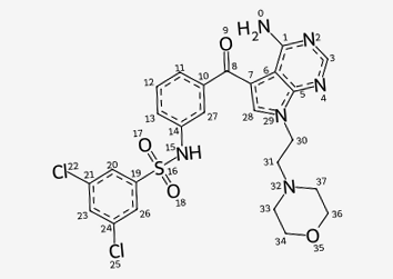 Nc1ncnc2c1c(C(=O)c1cccc(NS(=O)(=O)c3cc(Cl)cc(Cl)c3)c1)cn2CCN1CCOCC1